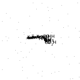 CCNC(=O)NC(CC(=O)N[C@@H](CSC/C=C(\C)CC/C=C(\C)CCC=C(C)C)C(=O)O)C(=O)O